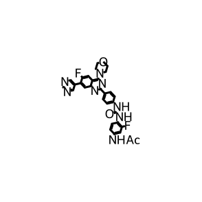 CC(=O)Nc1ccc(NC(=O)Nc2ccc(-c3nc(N4CCOCC4)c4cc(F)c(-c5cncnc5)cc4n3)cc2)c(F)c1